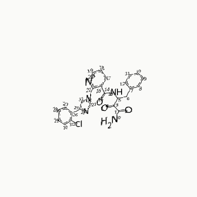 NC(=O)C(=O)C(Cc1ccccc1)NC(=O)c1cccnc1-n1cnc(-c2ccccc2Cl)c1